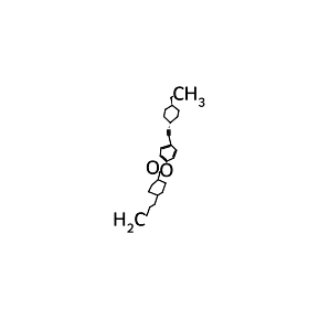 C=CCCC1CCC(C(=O)Oc2ccc(C#C[C@H]3CC[C@H](CC)CC3)cc2)CC1